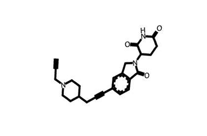 C#CCN1CCC(CC#Cc2ccc3c(c2)CN(C2CCC(=O)NC2=O)C3=O)CC1